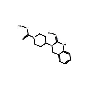 CC(C)(C)OC(=O)N1CCC(N2Cc3ccccc3N/C2=N/C#N)CC1